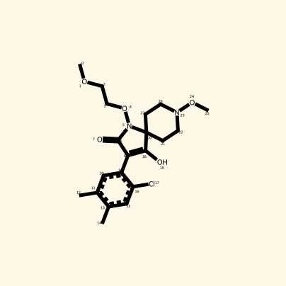 COCCON1C(=O)C(c2cc(C)c(C)cc2Cl)=C(O)C12CCN(OC)CC2